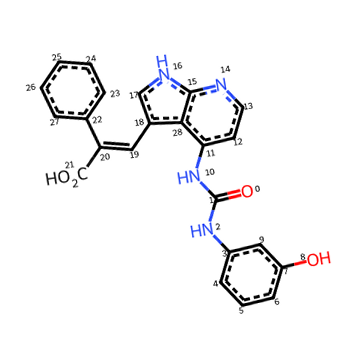 O=C(Nc1cccc(O)c1)Nc1ccnc2[nH]cc(C=C(C(=O)O)c3ccccc3)c12